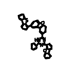 c1ccc(C2N=C(c3cccc4c3oc3ccccc34)N=C(c3ccc4oc5ccc(-c6cccc7c6sc6ccccc67)cc5c4c3)N2)cc1